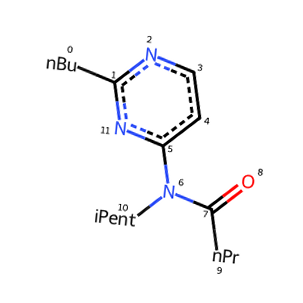 CCCCc1nccc(N(C(=O)CCC)C(C)CCC)n1